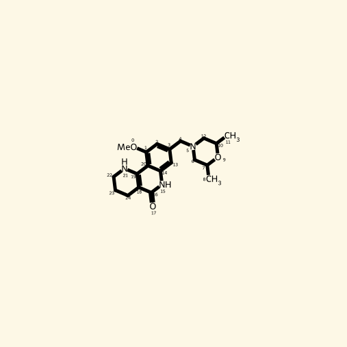 COc1cc(CN2CC(C)OC(C)C2)cc2[nH]c(=O)c3c(c12)NCCC3